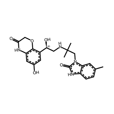 Cc1ccc2[nH]c(=O)n(CC(C)(C)NC[C@H](O)c3cc(O)cc4c3OCC(=O)N4)c2c1